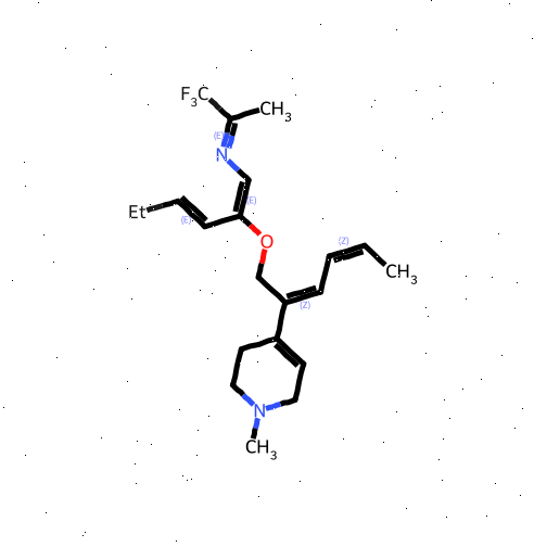 C/C=C\C=C(/COC(/C=C/CC)=C/N=C(\C)C(F)(F)F)C1=CCN(C)CC1